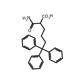 NC(=O)C(CCCC(c1ccccc1)(c1ccccc1)c1ccccc1)C(=O)O